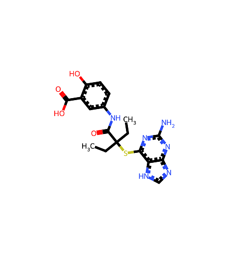 CCC(CC)(Sc1nc(N)nc2nc[nH]c12)C(=O)Nc1ccc(O)c(C(=O)O)c1